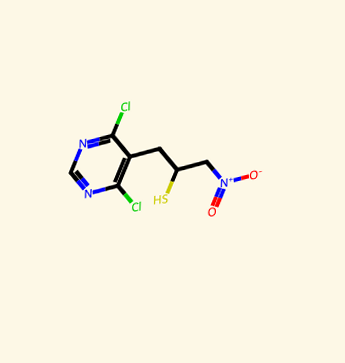 O=[N+]([O-])CC(S)Cc1c(Cl)ncnc1Cl